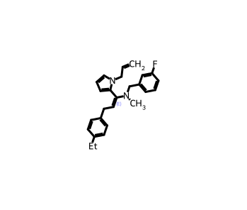 C=CCn1cccc1/C(=C\Cc1ccc(CC)cc1)N(C)Cc1cccc(F)c1